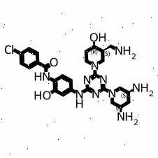 NC[C@H]1CN(c2nc(Nc3ccc(NC(=O)c4ccc(Cl)cc4)c(O)c3)nc(N3C[C@H](N)C[C@H](N)C3)n2)CC[C@H]1O